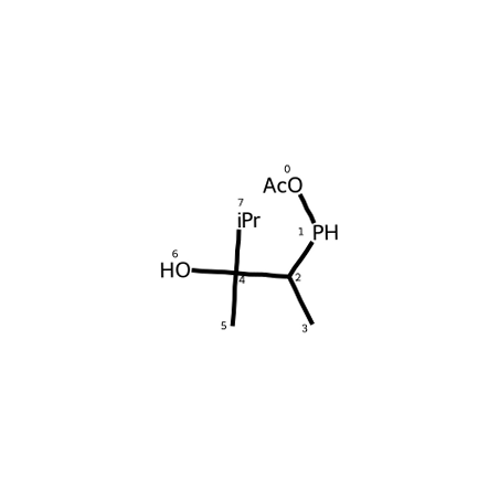 CC(=O)OPC(C)C(C)(O)C(C)C